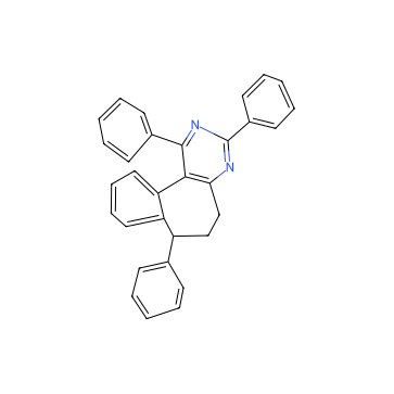 c1ccc(-c2nc3c(c(-c4ccccc4)n2)-c2ccccc2C(c2ccccc2)CC3)cc1